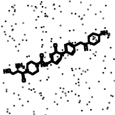 N[C@@H](CO)C(=O)N1CCN(C(=O)Nc2ccn(-c3ccc(CN[C@H]4CC[C@H](N)CC4)cc3)c(=O)n2)CC1